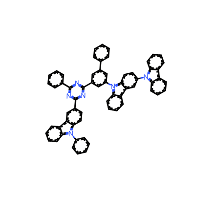 c1ccc(-c2cc(-c3nc(-c4ccccc4)nc(-c4ccc5c(c4)c4ccccc4n5-c4ccccc4)n3)cc(-n3c4ccccc4c4cc(-n5c6ccccc6c6ccccc65)ccc43)c2)cc1